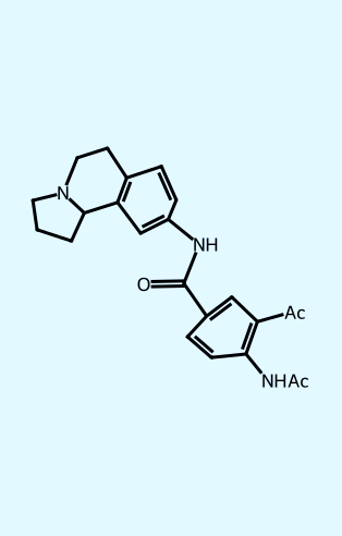 CC(=O)Nc1ccc(C(=O)Nc2ccc3c(c2)C2CCCN2CC3)cc1C(C)=O